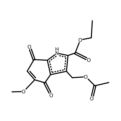 CCOC(=O)c1[nH]c2c(c1COC(C)=O)C(=O)C(OC)=CC2=O